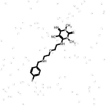 Cn1c(NCCOCCNCc2ccc(F)cc2)c(C#N)c(=N)n(C)c1=S